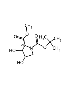 COC(=O)[C@@H]1C(O)C(O)CN1C(=O)OC(C)(C)C